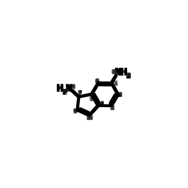 Nc1ccc2c(c1)C(N)C=C2